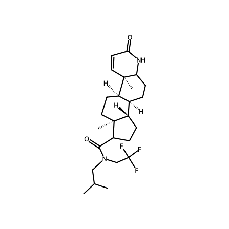 CC(C)CN(CC(F)(F)F)C(=O)C1CC[C@H]2[C@@H]3CCC4NC(=O)C=C[C@]4(C)[C@@H]3CC[C@]12C